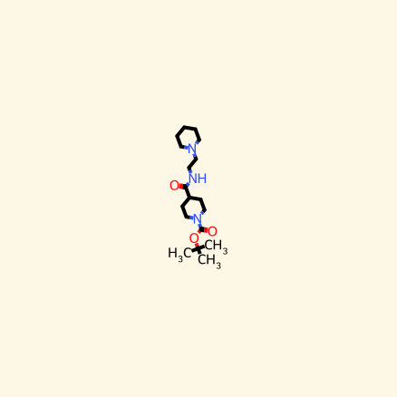 CC(C)(C)OC(=O)N1CCC(C(=O)NCCN2CCCCC2)CC1